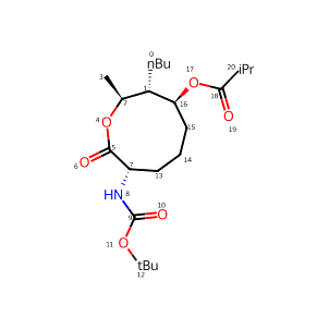 CCCC[C@H]1[C@H](C)OC(=O)[C@@H](NC(=O)OC(C)(C)C)CCC[C@@H]1OC(=O)C(C)C